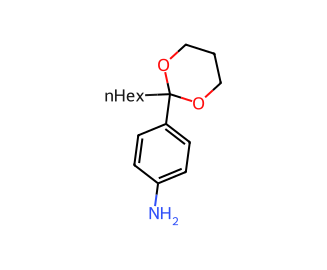 CCCCCCC1(c2ccc(N)cc2)OCCCO1